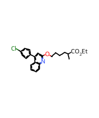 CCOC(=O)C(C)CCCCOc1cc(-c2ccc(Cl)cc2)c2ccccc2n1